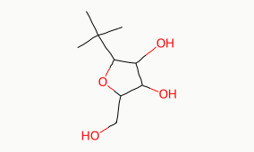 CC(C)(C)C1OC(CO)C(O)C1O